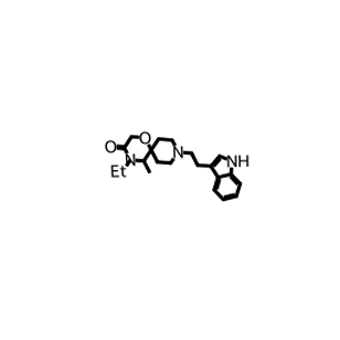 CCN1C(=O)COC2(CCN(CCc3c[nH]c4ccccc34)CC2)C1C